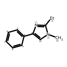 CCc1nc(-c2ccccc2)cn1C